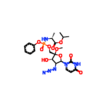 CO[C@]1(CO[P@](=O)(N[C@H](C)C(=O)OC(C)C)Oc2ccccc2)O[C@@H](n2ccc(=O)[nH]c2=O)C(N=[N+]=[N-])[C@@H]1O